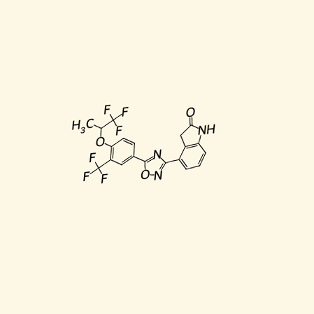 CC(Oc1ccc(-c2nc(-c3cccc4c3CC(=O)N4)no2)cc1C(F)(F)F)C(F)(F)F